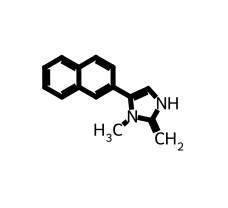 C=C1NC=C(c2ccc3ccccc3c2)N1C